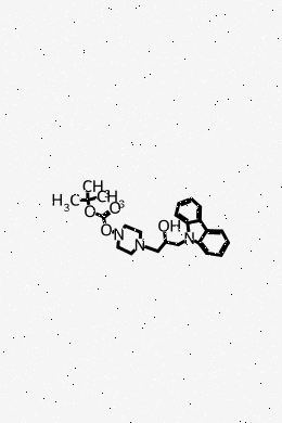 CC(C)(C)OC(=O)ON1CCN(CC(O)Cn2c3ccccc3c3ccccc32)CC1